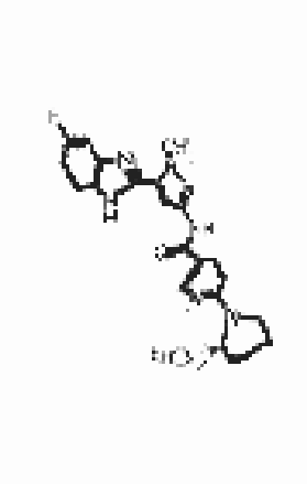 CCOC(=O)[C@@H]1CCCN1c1ccc(C(=O)Nc2cc(-c3nc4cc(F)ccc4[nH]3)n(C)n2)cn1